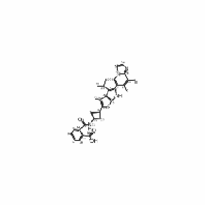 Cc1c(-c2[nH]c3sc(C4CC(NC(=O)c5ccccc5C(=O)O)C4)c(C)c3c2C(C)C)cn2ncnc2c1C